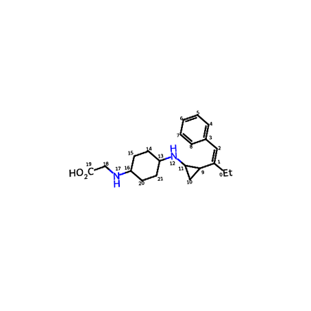 CCC(=Cc1ccccc1)C1CC1NC1CCC(NCC(=O)O)CC1